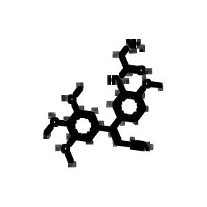 COc1ccc(/C(=C\C#N)c2cc(OC)c(OC)c(OC)c2)cc1NC(=O)CN